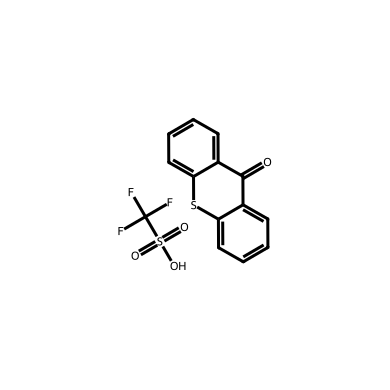 O=S(=O)(O)C(F)(F)F.O=c1c2ccccc2sc2ccccc12